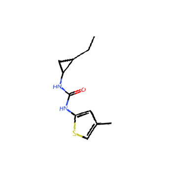 CCC1CC1NC(=O)Nc1cc(C)cs1